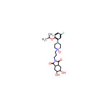 CC(C)Oc1ccc(F)cc1N1CC[N+]([O-])(CCCN2C(=O)C3CC(O)C(O)CC3C2=O)CC1